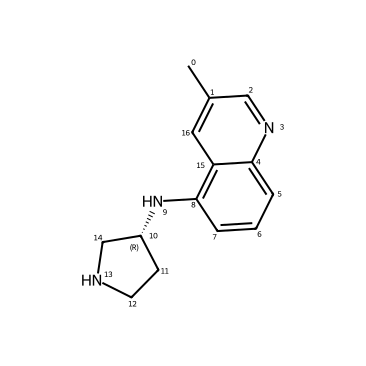 Cc1cnc2cccc(N[C@@H]3CCNC3)c2c1